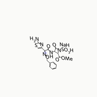 COC(=O)C1C(NC(=O)/C(=N\OCc2ccccc2)c2csc(N)n2)C(=O)N1S(=O)(=O)O.[NaH]